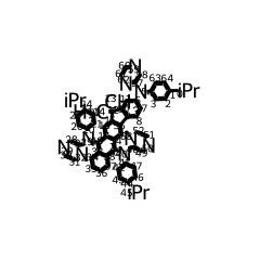 CC(C)c1ccc(N(c2ccc3c(c2)C(C)(C)c2cc4c(N(c5ccc(C(C)C)cc5)c5cnccn5)c5ccccc5c(N(c5ccc(C(C)C)cc5)c5cnccn5)c4cc2-3)c2cnccn2)cc1